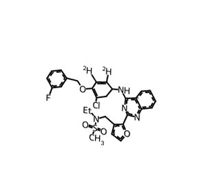 [2H]C1=C([2H])C(Nc2nc(-c3occc3CN(CC)S(C)(=O)=O)nc3ccccc23)CC(Cl)=C1OCc1cccc(F)c1